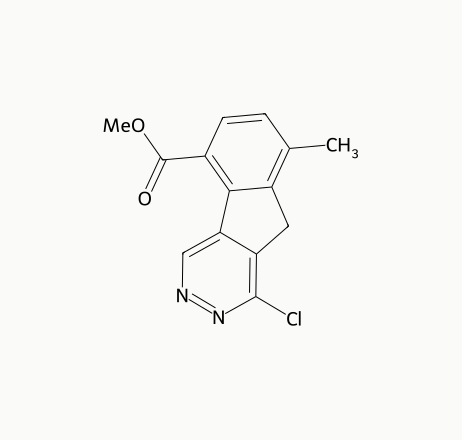 COC(=O)c1ccc(C)c2c1-c1cnnc(Cl)c1C2